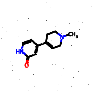 CN1CC=C(c2cc[nH]c(=O)c2)CC1